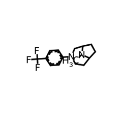 CN1C2CCC1CN(c1ccc(C(F)(F)F)cc1)CC2